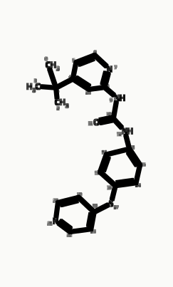 CC(C)(C)c1ccnc(NC(=O)Nc2ccc(Sc3ccncc3)cc2)c1